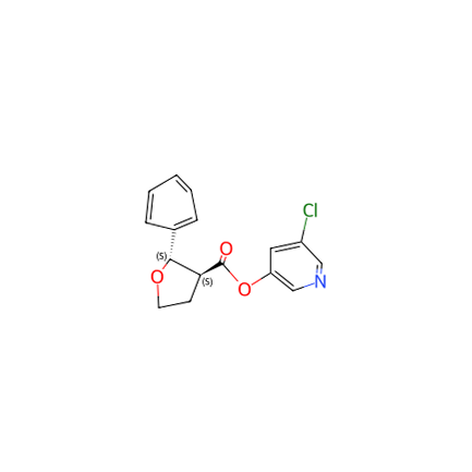 O=C(Oc1cncc(Cl)c1)[C@H]1CCO[C@@H]1c1ccccc1